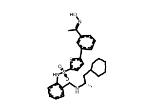 C/C(=N\O)c1cccc(-c2ccc(S(=O)(=O)Nc3ccccc3CN[C@@H](C)CC3CCCCC3)s2)c1